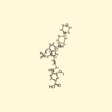 COc1cc(C(=O)O)ccc1NCC#Cc1cc2c(N[C@H]3CC[C@@H](N4CCOCC4)CC3)cccc2n1CC(F)(F)F